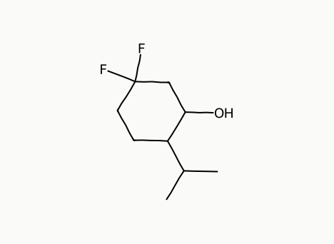 CC(C)C1CCC(F)(F)CC1O